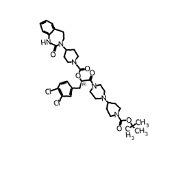 CC(C)(C)OC(=O)N1CCC(N2CCN(C(=O)[C@@H](Cc3ccc(Cl)c(Cl)c3)OC(=O)N3CCC(N4CCc5ccccc5NC4=O)CC3)CC2)CC1